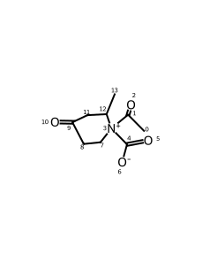 CC(=O)[N+]1(C(=O)[O-])CCC(=O)CC1C